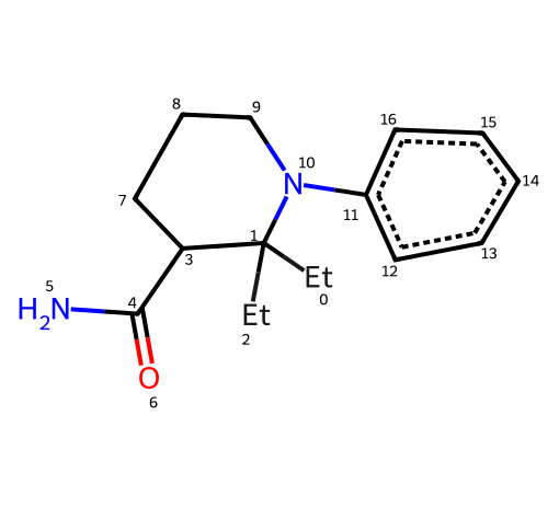 CCC1(CC)C(C(N)=O)CCCN1c1ccccc1